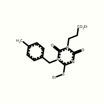 CCOC(=O)CCn1c(=O)nc(SCC)n(Cc2ccc(C)cc2)c1=O